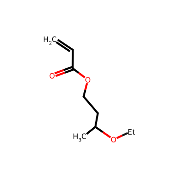 C=CC(=O)OCCC(C)OCC